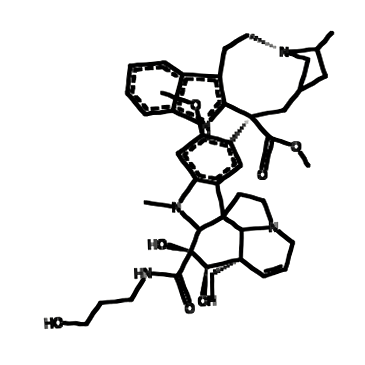 CC[C@]12C=CCN3CCC4(c5cc([C@@]6(C(=O)OC)CC7CC(C)[N@@](CCc8c6[nH]c6ccccc86)C7)c(OC)cc5N(C)C4[C@@](O)(C(=O)NCCCO)[C@@H]1O)C32